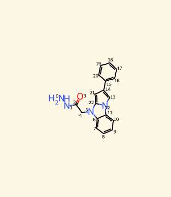 NNC(=O)Cn1c2ccccc2n2cc(-c3ccccc3)cc12